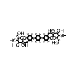 OC[C@H]1O[C@@]2(CCc3cc(-c4ccc(-c5ccc6c(c5)CC[C@]5(O6)O[C@H](CO)[C@@H](O)[C@H](O)[C@@H]5O)cc4)ccc3O2)[C@@H](O)[C@@H](O)[C@@H]1O